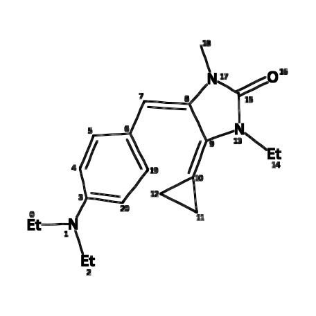 CCN(CC)c1ccc(/C=c2\c(=C3CC3)n(CC)c(=O)n2C)cc1